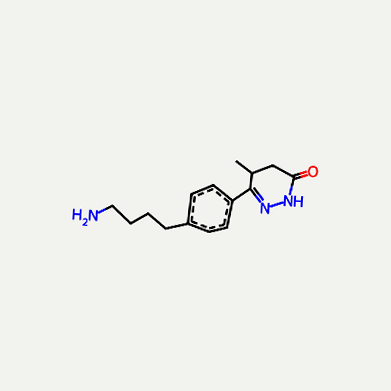 CC1CC(=O)NN=C1c1ccc(CCCCN)cc1